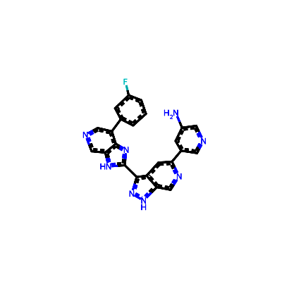 Nc1cncc(-c2cc3c(-c4nc5c(-c6cccc(F)c6)cncc5[nH]4)n[nH]c3cn2)c1